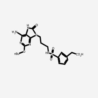 CCCCOc1nc(N)c2[nH]c(=O)n(CCCNS(=O)(=O)c3cccc(CC(=O)O)c3)c2n1